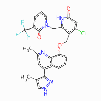 Cc1cc(-c2n[nH]cc2C)c2cccc(OCc3c(Cl)cc(=O)[nH]c3Cn3cccc(C(F)(F)F)c3=O)c2n1